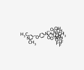 Cc1cc(COc2ccc(N3CC[C@H]([C@@H](C(=O)NOC(=O)C(F)(F)F)N(C(=O)O)C(C)(C)C)C3=O)cc2)cc(C)n1